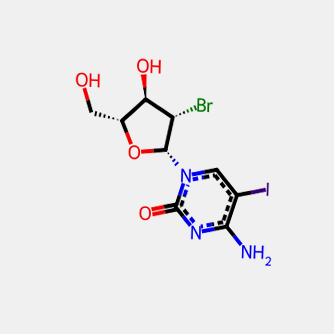 Nc1nc(=O)n([C@@H]2O[C@H](CO)[C@@H](O)[C@@H]2Br)cc1I